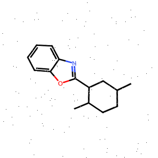 CC1CCC(C)C(c2nc3ccccc3o2)C1